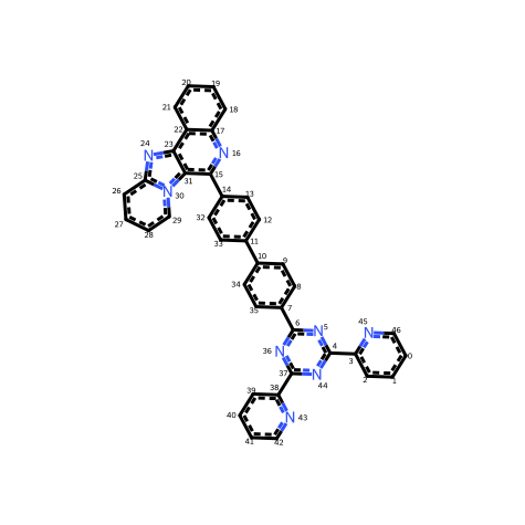 c1ccc(-c2nc(-c3ccc(-c4ccc(-c5nc6ccccc6c6nc7ccccn7c56)cc4)cc3)nc(-c3ccccn3)n2)nc1